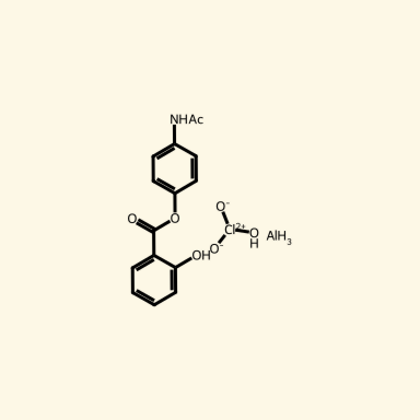 CC(=O)Nc1ccc(OC(=O)c2ccccc2O)cc1.[AlH3].[O-][Cl+2]([O-])O